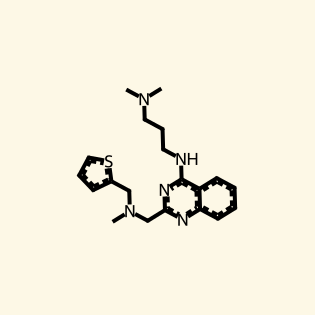 CN(C)CCCNc1nc(CN(C)Cc2cccs2)nc2ccccc12